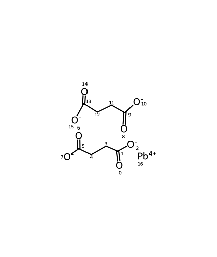 O=C([O-])CCC(=O)[O-].O=C([O-])CCC(=O)[O-].[Pb+4]